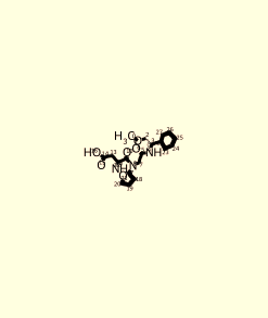 COC[C@@H](NC(=O)CN(C(=O)[C@@H](N)CC(=O)O)c1ccco1)c1ccccc1